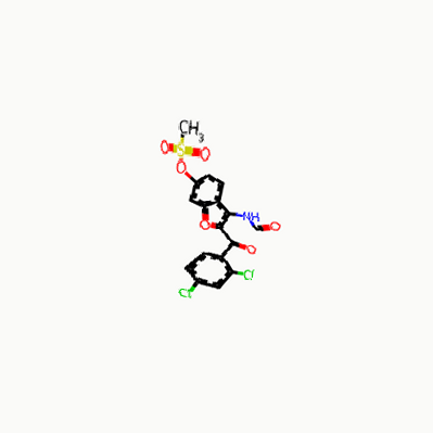 CS(=O)(=O)Oc1ccc2c(NC=O)c(C(=O)c3ccc(Cl)cc3Cl)oc2c1